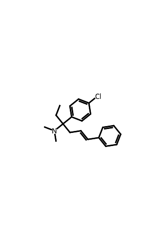 CCC(CC=Cc1ccccc1)(c1ccc(Cl)cc1)N(C)C